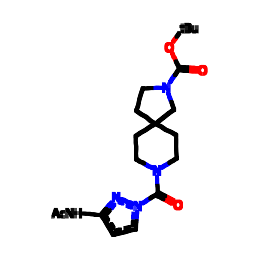 CC(=O)Nc1ccn(C(=O)N2CCC3(CCN(C(=O)OC(C)(C)C)C3)CC2)n1